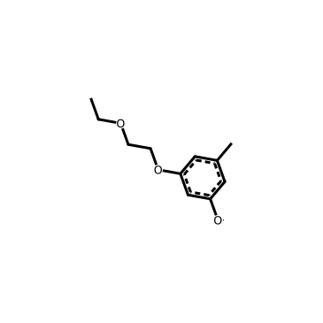 CCOCCOc1cc(C)cc([O])c1